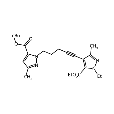 CCCCOC(=O)c1cc(C)nn1CCCC#Cc1c(C)nn(CC)c1C(=O)OCC